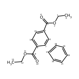 CCOC(=O)c1ccc(C(=O)OCC)cc1.c1ccccc1